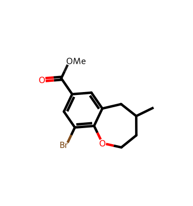 COC(=O)c1cc(Br)c2c(c1)CC(C)CCO2